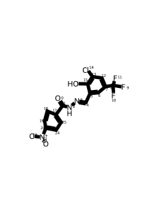 O=C(N/N=C/c1cc(C(F)(F)F)cc(Cl)c1O)c1ccc([N+](=O)[O-])cc1